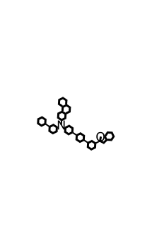 c1ccc(-c2cccc(N(c3ccc(-c4ccc(-c5cccc(-c6cc7ccccc7o6)c5)cc4)cc3)c3ccc4c(ccc5ccccc54)c3)c2)cc1